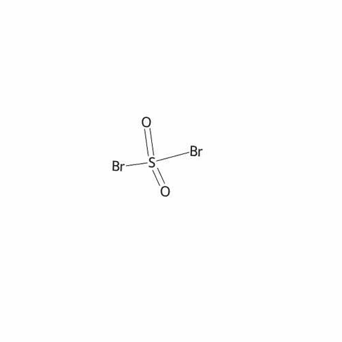 O=S(=O)(Br)Br